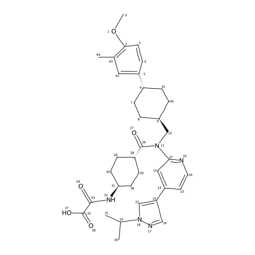 COc1ccc([C@H]2CC[C@H](CN(c3cc(-c4cnn(C(C)C)c4)ccn3)C(=O)[C@H]3CC[C@H](NC(=O)C(=O)O)CC3)CC2)cc1C